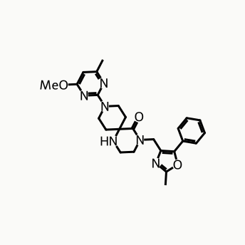 COc1cc(C)nc(N2CCC3(CC2)NCCN(Cc2nc(C)oc2-c2ccccc2)C3=O)n1